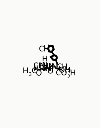 CN(C)C(=O)c1cc(C(=O)NN(Cc2ccc(-c3cccc(Cl)c3)cc2)CC(C)(O)C(=O)O)[nH]n1